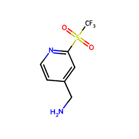 NCc1ccnc(S(=O)(=O)C(F)(F)F)c1